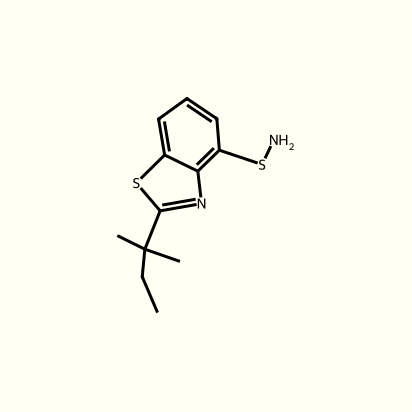 CCC(C)(C)c1nc2c(SN)cccc2s1